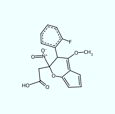 COC1=C2C=CC=C2OC(CC(=O)O)([N+](=O)[O-])C1c1ccccc1F